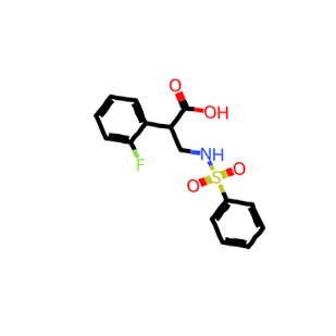 O=C(O)C(CNS(=O)(=O)c1ccccc1)c1ccccc1F